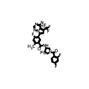 Cc1cc(F)c(-c2cc(C(F)(F)F)c3c(N)ncnn23)cc1C(=O)N[C@@H]1CN(C(=O)c2ccc(F)cc2F)C[C@@H]1F